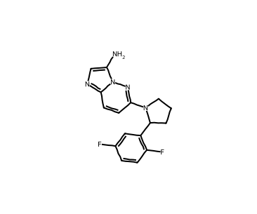 Nc1cnc2ccc(N3CCCC3c3cc(F)ccc3F)nn12